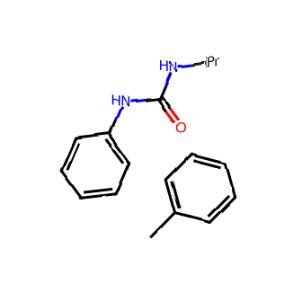 CC(C)NC(=O)Nc1ccccc1.Cc1ccccc1